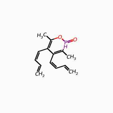 C=C/C=C\C1=C(C)O[PH](=O)C(C)=C1/C=C\C=C